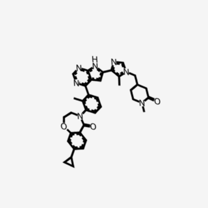 Cc1c(-c2ncnc3[nH]c(-c4ncn(CC5CCN(C)C(=O)C5)c4C)cc23)cccc1N1CCOc2cc(C3CC3)ccc2C1=O